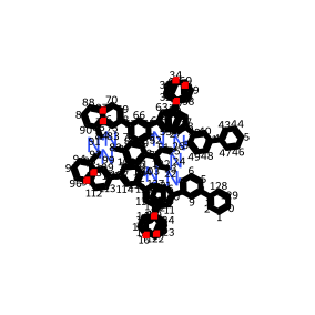 c1ccc(-c2ccc3c(c2)c2cc(-c4ccccc4)ccc2n3-c2nc(-n3c4ccc(-c5ccccc5)cc4c4cc(-c5ccccc5)ccc43)c(-n3c4ccc(-c5ccccc5)cc4c4cc(-c5ccccc5)ccc43)c(-c3ccc(-c4nc(-c5ccccc5)nc(-c5ccccc5)n4)cc3)c2-n2c3ccc(-c4ccccc4)cc3c3cc(-c4ccccc4)ccc32)cc1